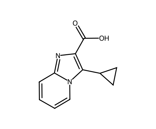 O=C(O)c1nc2ccccn2c1C1CC1